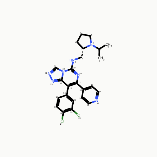 CC(C)N1CCC[C@H]1CNc1nc(-c2ccncc2)c(-c2ccc(Cl)c(Cl)c2)c2nncn12